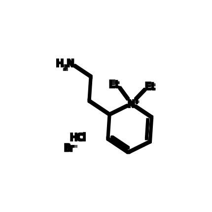 CC[N+]1(CC)C=CC=CC1CCN.Cl.[Br-]